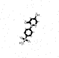 CS(=O)(=O)c1ccc(-n2ncc(O)cc2=O)cc1